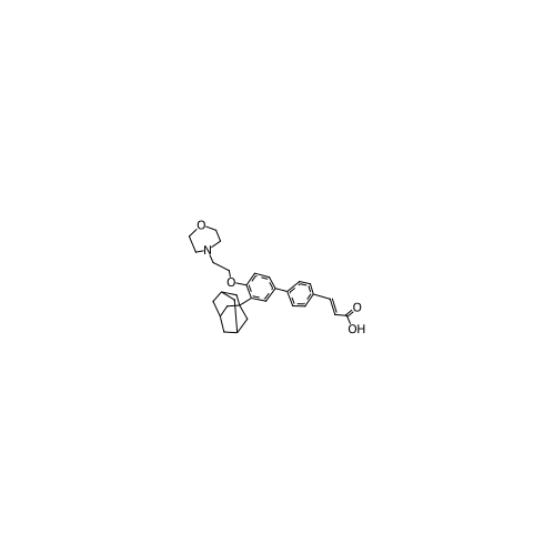 O=C(O)C=Cc1ccc(-c2ccc(OCCN3CCOCC3)c(C34CC5CC(CC(C5)C3)C4)c2)cc1